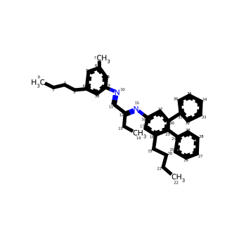 CCCCc1cc(C)cc(N=CC(CC)=Nc2cc(CCCC)c(-c3ccccc3)c(-c3ccccc3)c2)c1